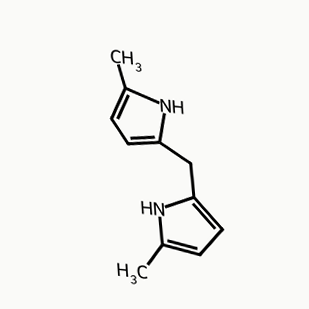 Cc1ccc(Cc2ccc(C)[nH]2)[nH]1